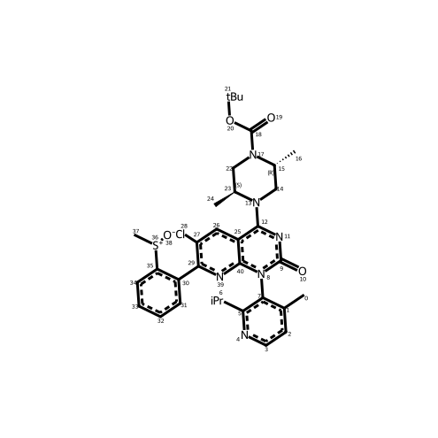 Cc1ccnc(C(C)C)c1-n1c(=O)nc(N2C[C@@H](C)N(C(=O)OC(C)(C)C)C[C@@H]2C)c2cc(Cl)c(-c3ccccc3[S+](C)[O-])nc21